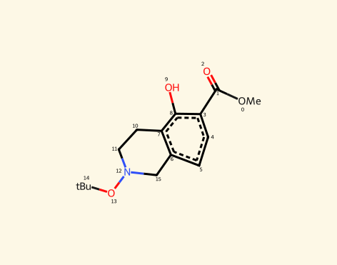 COC(=O)c1ccc2c(c1O)CCN(OC(C)(C)C)C2